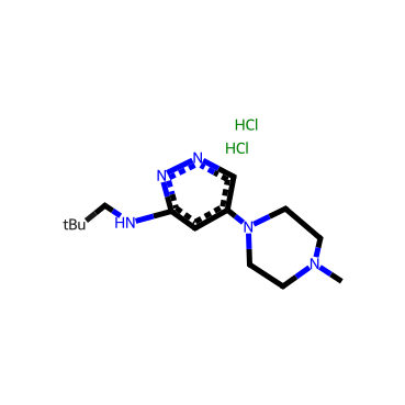 CN1CCN(c2cnnc(NCC(C)(C)C)c2)CC1.Cl.Cl